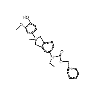 CCN(C(=O)OCc1ccccc1)c1ccc2c(c1)CS(C)(c1ccc(O)c(OC)c1)C2